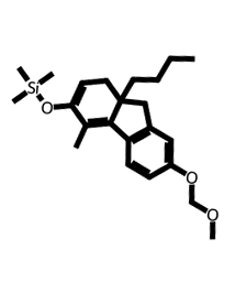 CCCCC12CC=C(O[Si](C)(C)C)C(C)=C1c1ccc(OCOC)cc1C2